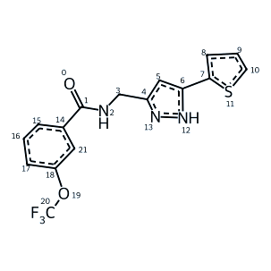 O=C(NCc1cc(-c2cccs2)[nH]n1)c1cccc(OC(F)(F)F)c1